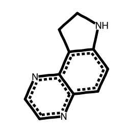 c1cnc2c3c(ccc2n1)NCC3